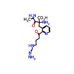 CC(N)C(=O)C(N)(Cc1cccnc1C(=O)CCCNC=NN)C(=O)O